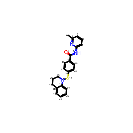 Cc1cccc(NC(=O)c2ccc(SN3CCCc4ccccc43)cc2)n1